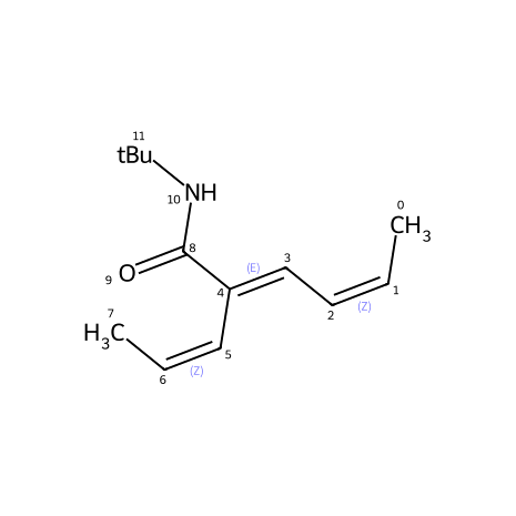 C\C=C/C=C(\C=C/C)C(=O)NC(C)(C)C